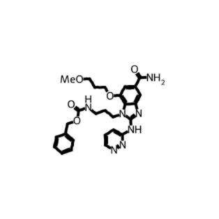 COCCCOc1cc(C(N)=O)cc2nc(Nc3cccnn3)n(CCCNC(=O)OCc3ccccc3)c12